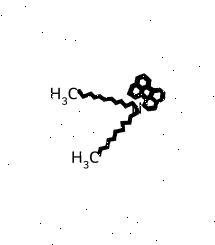 CCCCCCCCCCCC[N+](CCCCCCCCCCCC)=C1C=CC2C=CC=c3c2c1c1cccc2cccc3c21